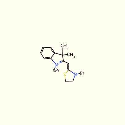 CCC[N+]1=C(/C=C2\SCCN2CC)C(C)(C)c2ccccc21